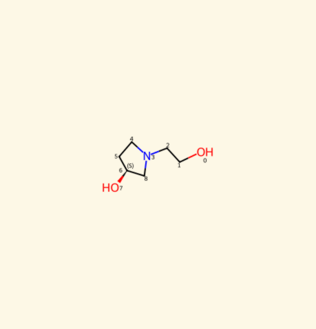 OCCN1CC[C@H](O)C1